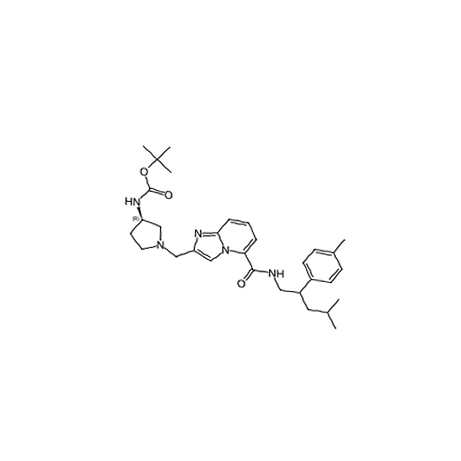 Cc1ccc(C(CNC(=O)c2cccc3nc(CN4CC[C@@H](NC(=O)OC(C)(C)C)C4)cn23)CC(C)C)cc1